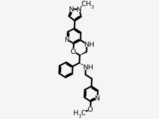 COc1ccc(CCN[C@H](c2ccccc2)[C@@H]2CNc3cc(-c4cnn(C)c4)cnc3O2)cn1